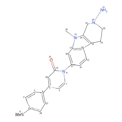 CSc1ccc(-c2ccn(-c3ccc4c5c(n(C)c4c3)CN(N)CC5)c(=O)c2)cc1